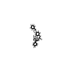 CC(Cc1ccc(OCc2ccccc2)cc1)NC[C@H](O)c1ccccc1